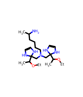 CCOC(C)C1(CN(CCCCC(C)N)CC2(C(C)OCC)NC=CN2)NC=CN1